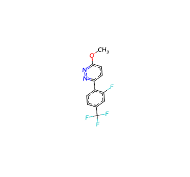 COc1ccc(-c2ccc(C(F)(F)F)cc2F)nn1